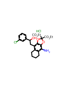 CCOC(=O)C1(C(=O)OCC)Oc2c(N)c3c(c(CC(O)c4cccc(Cl)c4)c2O1)CCCC3.Cl